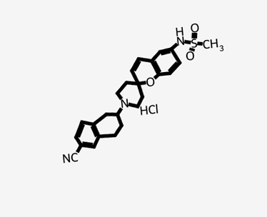 CS(=O)(=O)Nc1ccc2c(c1)C=CC1(CCN(C3CCc4cc(C#N)ccc4C3)CC1)O2.Cl